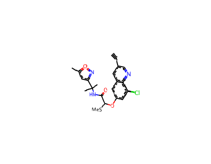 C#Cc1cnc2c(Cl)cc(OC(SC)C(=O)NC(C)(C)c3cc(C)on3)cc2c1